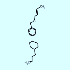 C=CCC[C@H]1CC[C@H](c2ccc(COCC=CC)cc2)CC1